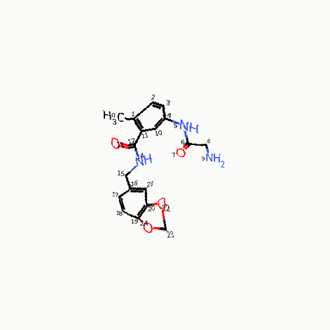 Cc1ccc(NC(=O)CN)cc1C(=O)NCc1ccc2c(c1)OCO2